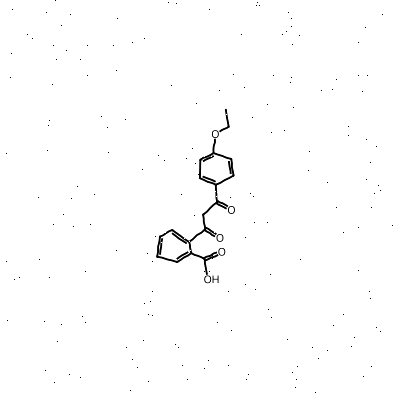 CCOc1ccc(C(=O)CC(=O)c2ccccc2C(=O)O)cc1